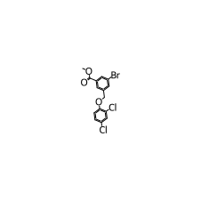 COC(=O)c1cc(Br)cc(COc2ccc(Cl)cc2Cl)c1